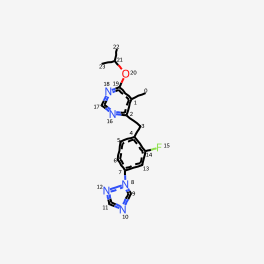 Cc1c(Cc2ccc(-n3cncn3)cc2F)ncnc1OC(C)C